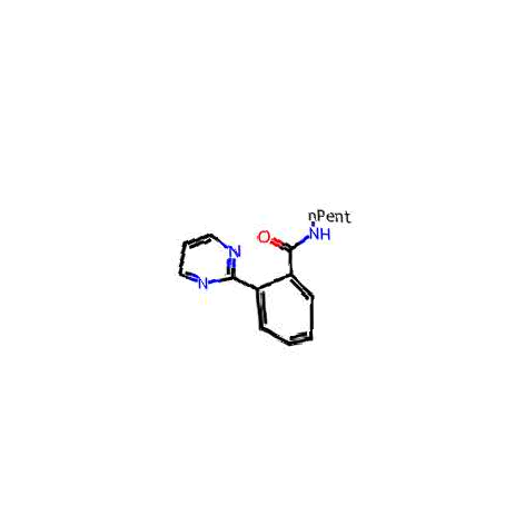 CCCCCNC(=O)c1ccccc1-c1ncccn1